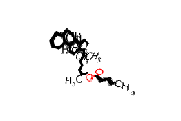 CCCCC(=O)OCC(C)CCC[C@@H](C)[C@H]1CC[C@H]2[C@@H]3CCC4CCCC[C@]4(C)[C@H]3CC[C@]12C